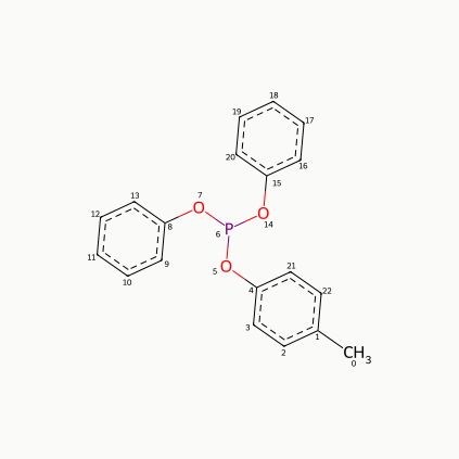 Cc1ccc(OP(Oc2ccccc2)Oc2ccccc2)cc1